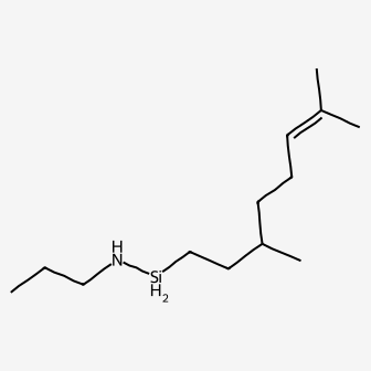 CCCN[SiH2]CCC(C)CCC=C(C)C